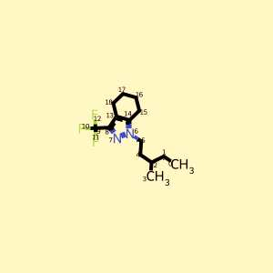 C[CH]C(C)C[CH]n1nc(C(F)(F)F)c2c1CCCC2